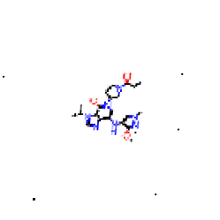 C=CC(=O)N1CCC(n2cc(Nc3cn(C)nc3OC)c3ncn(C(C)C)c3c2=O)C1